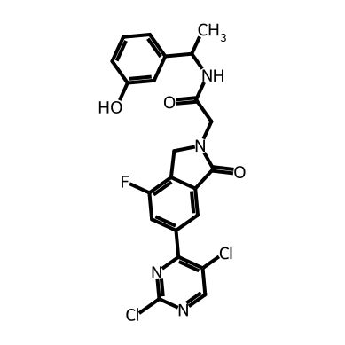 CC(NC(=O)CN1Cc2c(F)cc(-c3nc(Cl)ncc3Cl)cc2C1=O)c1cccc(O)c1